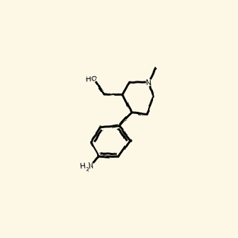 CN1CCC(c2ccc(N)cc2)C(CO)C1